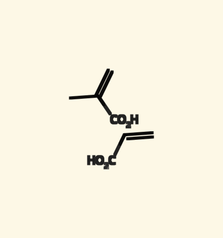 C=C(C)C(=O)O.C=CC(=O)O